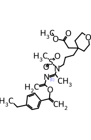 C=C(/N=C(\C)N(CCCC1(CC(=O)OC)CCOCC1)S(C)(=O)=O)OC(=C)c1ccc(CC)cc1